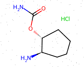 Cl.NC(=O)O[C@@H]1CCCC[C@H]1N